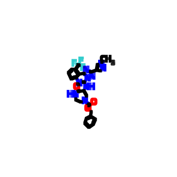 Cn1cc(-c2nc3c4c(C(F)(F)F)cccc4nc(N[C@@H]4CN(C(=O)OCc5ccccc5)CCNC4=O)n3n2)cn1